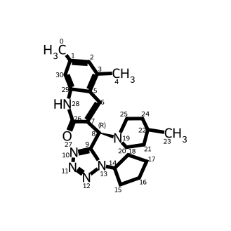 Cc1cc(C)c2cc([C@H](c3nnnn3C3CCCC3)N3CCC(C)CC3)c(=O)[nH]c2c1